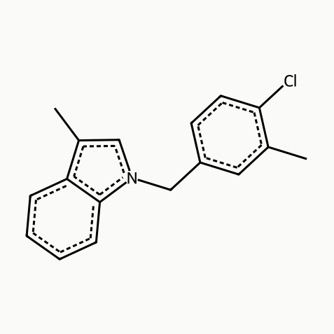 Cc1cc(Cn2cc(C)c3ccccc32)ccc1Cl